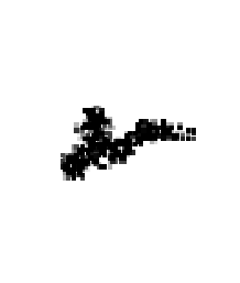 CNC[C@H](O)COc1ccc(Cl)c(-c2nc(-c3c(C)noc3C)c(C)c(N3Cc4cccnc4C3)n2)c1